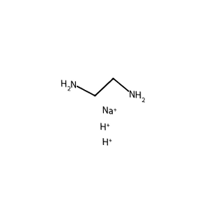 NCCN.[H+].[H+].[Na+]